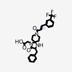 O=C(O)CN1C(=O)C(Cc2ccccc2)NC12CCN(C(=O)/C=C/c1cccc(C(F)(F)F)c1)CC2